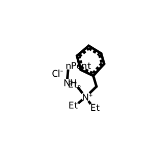 CCCCCN.CC[N+](CC)(CC)Cc1ccccc1.[Cl-]